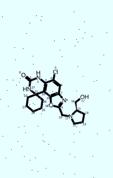 O=C1Nc2c(Cl)cc3nc(CN4CCC[C@@H]4CO)oc3c2C2(CCCCC2)N1